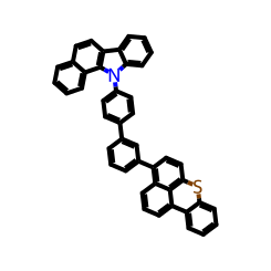 c1cc(-c2ccc(-n3c4ccccc4c4ccc5ccccc5c43)cc2)cc(-c2ccc3c4c(cccc24)-c2ccccc2S3)c1